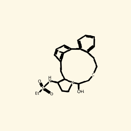 CCS(=O)(=O)NC1CCN2C(O)CCCCc3ccccc3-c3cccc(c3F)CC12